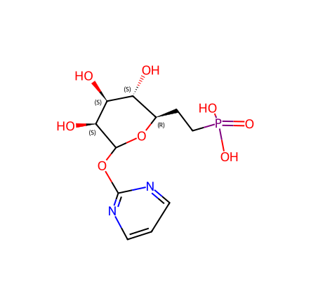 O=P(O)(O)CC[C@H]1OC(Oc2ncccn2)[C@@H](O)[C@@H](O)[C@@H]1O